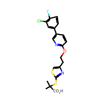 CC(C)(Sc1nc(CCOc2ccc(-c3ccc(F)c(Cl)c3)cn2)cs1)C(=O)O